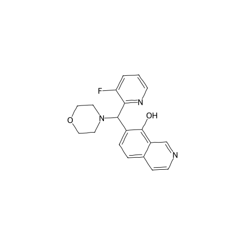 Oc1c(C(c2ncccc2F)N2CCOCC2)ccc2ccncc12